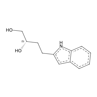 OC[C@@H](O)CCc1cc2ccccc2[nH]1